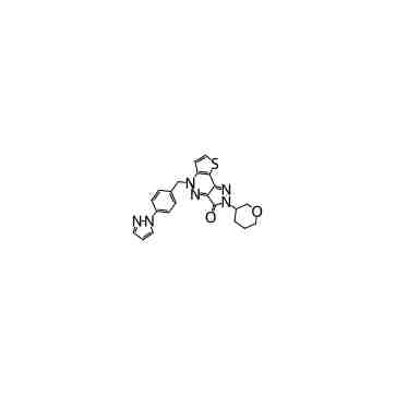 O=c1c2nn(Cc3ccc(-n4cccn4)cc3)c3ccsc3c-2nn1C1CCCOC1